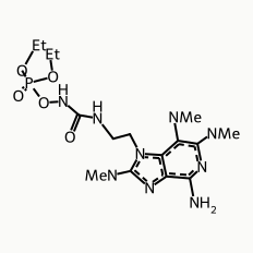 CCOP(=O)(OCC)ONC(=O)NCCn1c(NC)nc2c(N)nc(NC)c(NC)c21